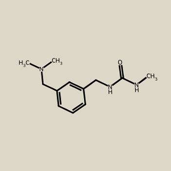 CNC(=O)NCc1cccc(CN(C)C)c1